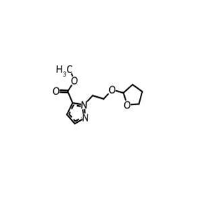 COC(=O)c1ccnn1CCOC1CCCO1